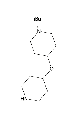 CC[C@@H](C)N1CCC(OC2CCNCC2)CC1